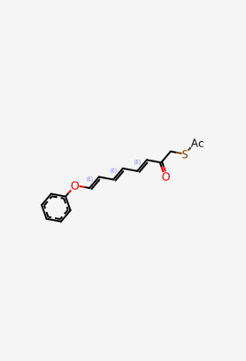 CC(=O)SCC(=O)/C=C/C=C/C=C/Oc1ccccc1